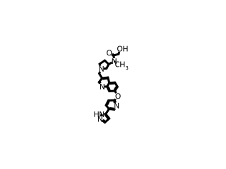 CN(C(=O)CO)C1CCN(Cc2cnc3cc(Oc4ccc(-c5ccn[nH]5)cn4)ccc3c2)C1